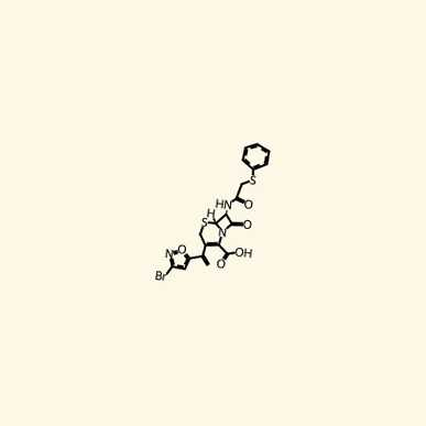 C=C(C1=C(C(=O)O)N2C(=O)[C@@H](NC(=O)CSc3ccccc3)[C@H]2SC1)c1cc(Br)no1